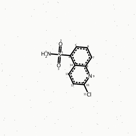 NS(=O)(=O)c1cccc2nc(Cl)ccc12